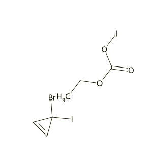 BrC1(I)C=C1.CCOC(=O)OI